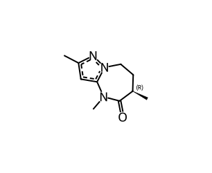 Cc1cc2n(n1)CC[C@@H](C)C(=O)N2C